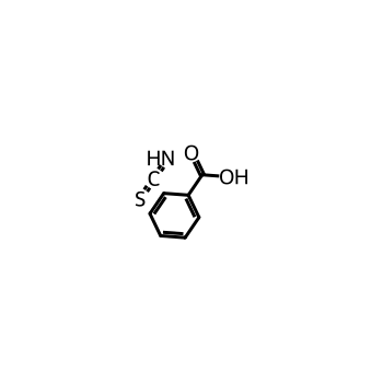 N=C=S.O=C(O)c1ccccc1